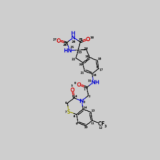 O=C(CN1C(=O)CSc2ccc(C(F)(F)F)cc21)Nc1ccc2c(c1)CC1(C2)NC(=O)NC1=O